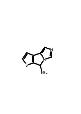 CCCCC1c2sccc2-c2cncn21